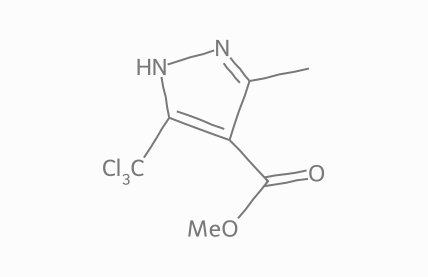 COC(=O)c1c(C)n[nH]c1C(Cl)(Cl)Cl